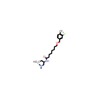 CN(C)CC(CC(=O)O)NC(=O)CCCCCCCOCc1ccc(C(F)(F)F)c(F)c1